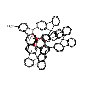 Cc1ccc2c(c1)c1cc(C)ccc1n2-c1ccc2c(c1)C1(c3ccccc3-c3ccc(C(=O)c4ccc5c(c4)C4(c6ccccc6-5)c5ccccc5-c5ccc(C(=O)c6ccc7c(c6)C6(c8ccccc8-7)c7ccccc7-c7ccc(-n8c9ccc(C)cc9c9cc(C)ccc98)cc76)cc54)cc31)c1ccccc1-2